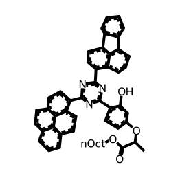 CCCCCCCCOC(=O)C(C)Oc1ccc(-c2nc(-c3ccc4c5c(cccc35)-c3ccccc3-4)nc(-c3ccc4ccc5cccc6ccc3c4c56)n2)c(O)c1